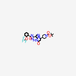 CC(C)(C)OC(=O)N1CCC(c2cc(=O)[nH]c3c(-c4noc(-c5ccccc5OC(F)(F)F)n4)cnn23)CC1